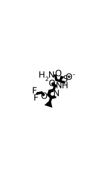 NC(=O)CC1(NC(=O)c2cc(OCC(F)F)c(C3CC3)cn2)C[S+]([O-])C1